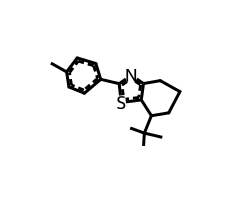 Cc1ccc(-c2nc3c(s2)C(C(C)(C)C)CCC3)cc1